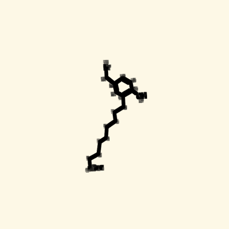 CCCCCCCCCCCCCCCCCCc1cc(CBr)ccc1O